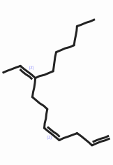 C=CC/C=C\CC/C(=C\C)CCCCC